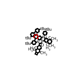 CC1C2=Cc3oc4c(c3CC2(C)C(C)C2CCC12)N(c1ccc(C(C)(C)C)cc1-c1ccccc1)c1cc(-n2c3cc(C(C)(C)C)ccc3c3ccc(C(C)(C)C)cc32)cc2c1B4c1cc3c(cc1N2c1ccc(C(C)(C)C)cc1)C(C)(C)CCC3(C)C